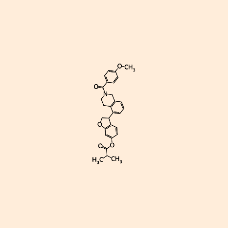 COc1ccc(C(=O)N2CCc3c(cccc3C3COc4cc(OC(=O)C(C)C)ccc43)C2)cc1